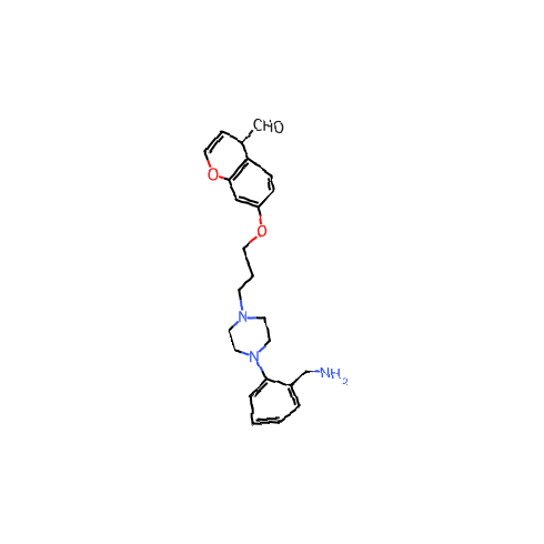 NCc1ccccc1N1CCN(CCCOc2ccc3c(c2)OC=CC3C=O)CC1